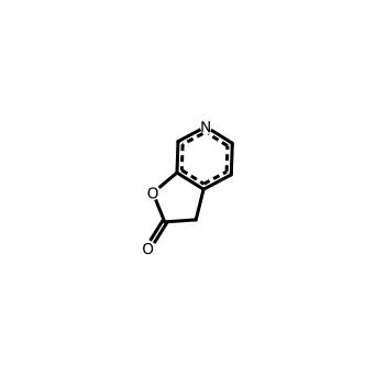 O=C1Cc2ccncc2O1